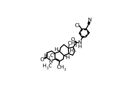 CC1=C2N(C)C(=O)CC[C@]2(C)[C@@H]2CC[C@]3(C)C(C(=O)Nc4ccc(C#N)c(Cl)c4)CC[C@H]3[C@@H]2C1